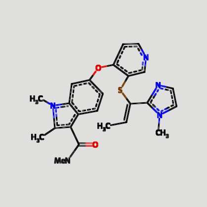 C/C=C(\Sc1cnccc1Oc1ccc2c(C(=O)NC)c(C)n(C)c2c1)c1nccn1C